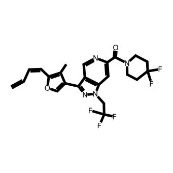 C=C/C=C\c1occ(-c2nn(CC(F)(F)F)c3cc(C(=O)N4CCC(F)(F)CC4)ncc23)c1C